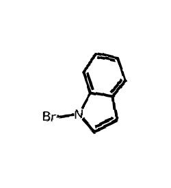 Brn1ccc2ccccc21